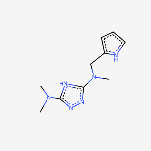 CN(C)c1nnc(N(C)Cc2ccc[nH]2)[nH]1